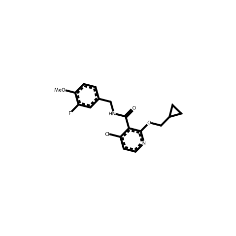 COc1ccc(CNC(=O)c2c(Cl)ccnc2OCC2CC2)cc1F